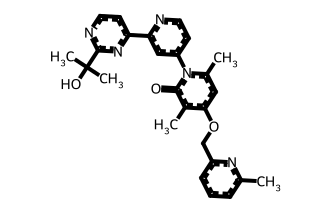 Cc1cccc(COc2cc(C)n(-c3ccnc(-c4ccnc(C(C)(C)O)n4)c3)c(=O)c2C)n1